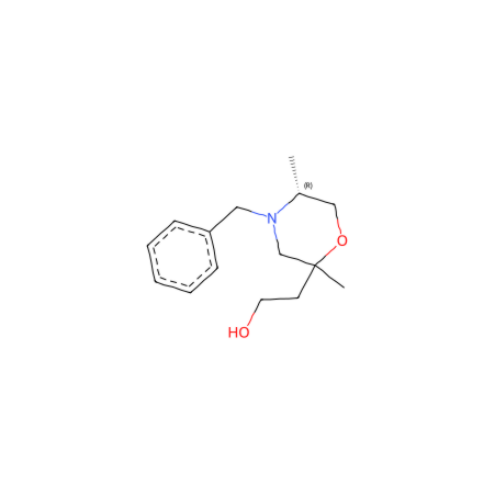 C[C@@H]1COC(C)(CCO)CN1Cc1ccccc1